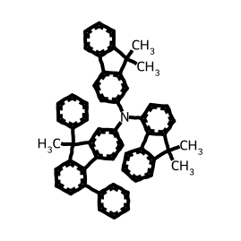 CC1(C)c2ccccc2-c2ccc(N(c3ccc4c(c3)C(C)(c3ccccc3)c3cccc(-c5ccccc5)c3-4)c3cccc4c3-c3ccccc3C4(C)C)cc21